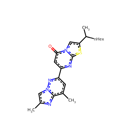 CCCCCCC(C)c1cn2c(=O)cc(-c3cc(C)c4nc(C)cn4n3)nc2s1